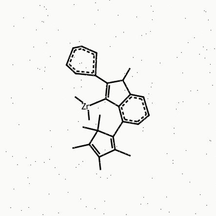 CC1=C(C)C(C)(C)C(c2cccc3c2[C]([Zr]([CH3])[CH3])=C(c2ccccc2)C3C)=C1C